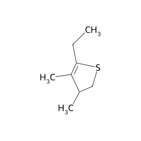 CCC1=C(C)C(C)CS1